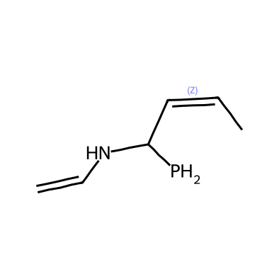 C=CNC(P)/C=C\C